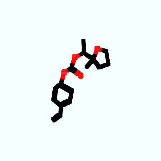 C=Cc1ccc(OC(=O)OC(C)C2(C)CCCO2)cc1